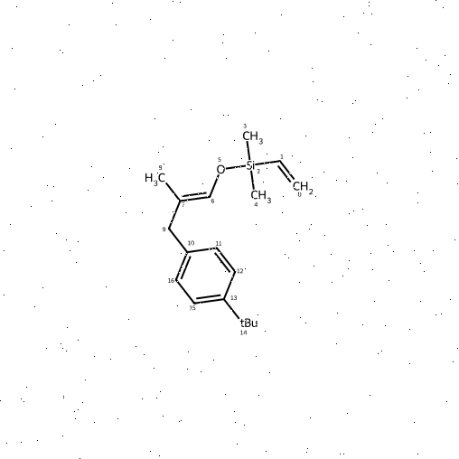 C=C[Si](C)(C)OC=C(C)Cc1ccc(C(C)(C)C)cc1